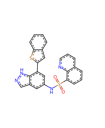 O=S(=O)(Nc1cc(-c2cc3ccccc3s2)c2[nH]ncc2c1)c1cccc2cccnc12